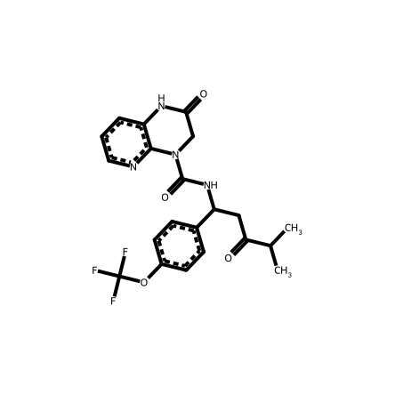 CC(C)C(=O)CC(NC(=O)N1CC(=O)Nc2cccnc21)c1ccc(OC(F)(F)F)cc1